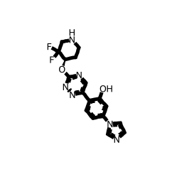 Oc1cc(-n2ccnc2)ccc1-c1cnc(O[C@@H]2CCNCC2(F)F)nn1